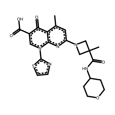 Cc1cc(N2CC(C)(C(=O)NC3CCOCC3)C2)nc2c1c(=O)c(C(=O)O)cn2-c1nccs1